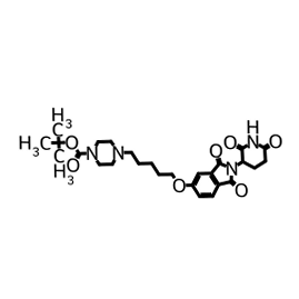 CC(C)(C)OC(=O)N1CCN(CCCCCOc2ccc3c(c2)C(=O)N(C2CCC(=O)NC2=O)C3=O)CC1